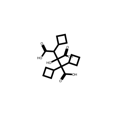 O=C(O)C(C1CCC1)C(O)(C(=O)O)C(C(=O)O)(C1CCC1)C1CCC1